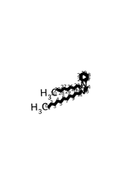 CCCCCCCCCCCCN1C=CN(c2ccccc2)C1CCCCCCCC